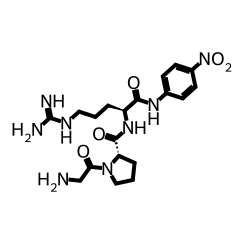 N=C(N)NCCC[C@H](NC(=O)[C@@H]1CCCN1C(=O)CN)C(=O)Nc1ccc([N+](=O)[O-])cc1